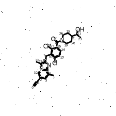 C#Cc1cc(C)c2nc(Cc3c(Cl)ccc(C(=O)N4CCC(C(C)O)CC4)c3Cl)c(C)n2c1